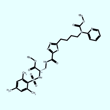 Cc1cc(C)c(S(=O)(=O)N[C@@H](CNC(=O)c2nnc(CCCCN(C(=O)OC(C)(C)C)c3ccccn3)s2)C(=O)OC(C)(C)C)c(C)c1